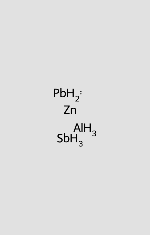 [AlH3].[PbH2].[SbH3].[Zn]